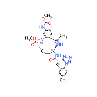 COC(=O)Nc1ccc2c(c1)N[C@@H](C(=O)OC)CCCC[C@H](NC(=O)/C=C/c1cc(C)ccc1-n1cnnn1)c1nc-2c(C)[nH]1